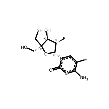 Nc1nc(=O)n([C@@H]2O[C@@](CO)(CS)[C@@H](O)[C@@H]2F)cc1F